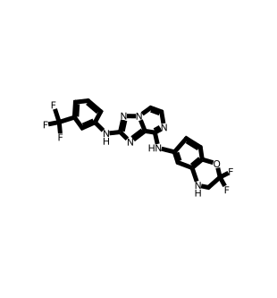 FC1(F)CNc2cc(Nc3nccn4nc(Nc5cccc(C(F)(F)F)c5)nc34)ccc2O1